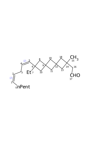 CCCCC/C=C\C/C=C\C1(CC)CC2(C1)CC1(CC(C)(CC=O)C1)C2